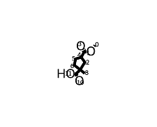 COC(=O)C1CCC(C)(C(=O)O)C1